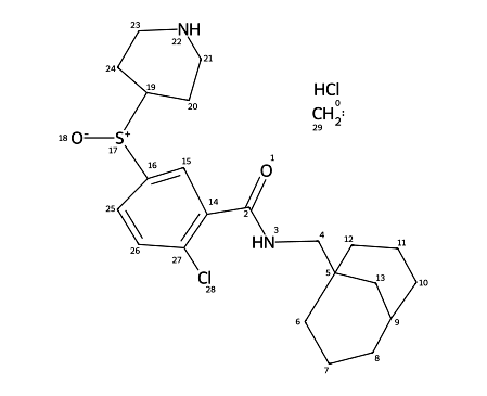 Cl.O=C(NCC12CCCC(CCC1)C2)c1cc([S+]([O-])C2CCNCC2)ccc1Cl.[CH2]